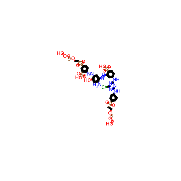 Nc1cc(O)c(/N=N/c2ccc(S(=O)(=O)CCOSOOO)cc2S(=O)(=O)O)cc1/N=N/c1cc(Nc2nc(Cl)nc(Nc3ccc(S(=O)(=O)CCOSOOO)cc3)n2)ccc1S(=O)(=O)O